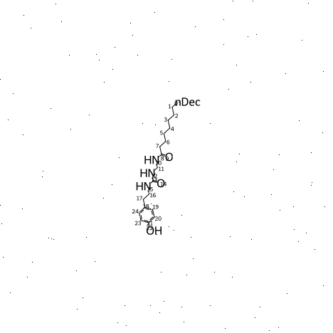 CCCCCCCCCCCCCCCCCC(=O)NCNC(=O)NCCc1ccc(O)cc1